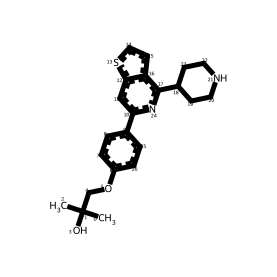 CC(C)(O)COc1ccc(-c2cc3sccc3c(C3CCNCC3)n2)cc1